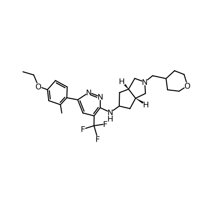 CCOc1ccc(-c2cc(C(F)(F)F)c(NC3C[C@@H]4CN(CC5CCOCC5)C[C@@H]4C3)nn2)c(C)c1